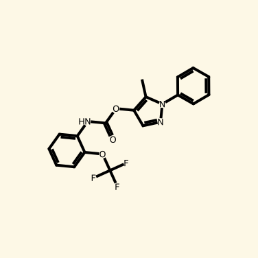 Cc1c(OC(=O)Nc2ccccc2OC(F)(F)F)cnn1-c1ccccc1